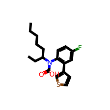 CCCCCC(CC)N(C(=O)O)c1ccc(F)cc1-c1ccsc1